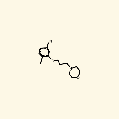 Cc1ccc(C#N)cc1OCCCN1CCOCC1